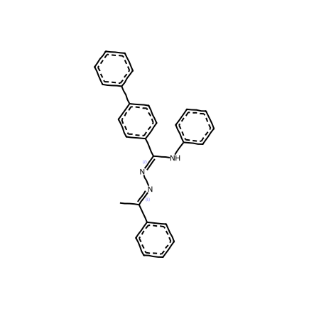 C/C(=N\N=C(/Nc1ccccc1)c1ccc(-c2ccccc2)cc1)c1ccccc1